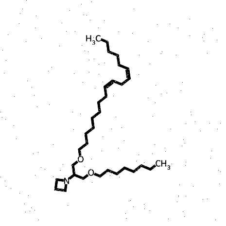 CCCCC/C=C\C/C=C\CCCCCCCCOCC(COCCCCCCCC)N1CCC1